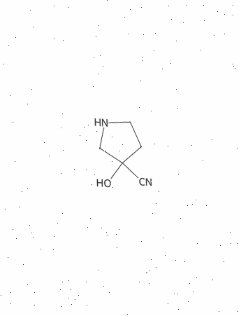 N#CC1(O)CCNC1